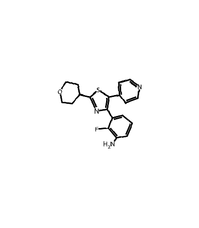 Nc1cccc(-c2nc(C3CCOCC3)sc2-c2ccncc2)c1F